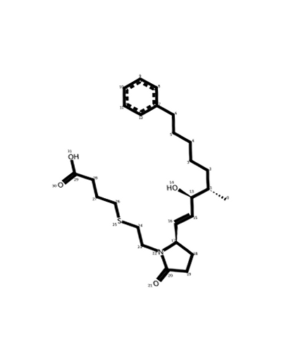 C[C@@H](CCCCCc1ccccc1)[C@H](O)C=C[C@H]1CCC(=O)N1CCSCCCC(=O)O